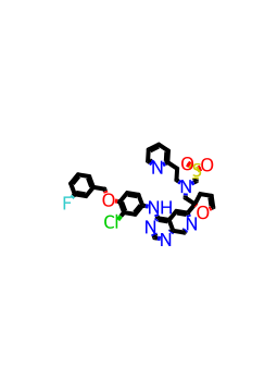 O=S(=O)=CN(CCc1ccccn1)CC1(c2cc3c(Nc4ccc(OCc5cccc(F)c5)c(Cl)c4)ncnc3cn2)CC=CO1